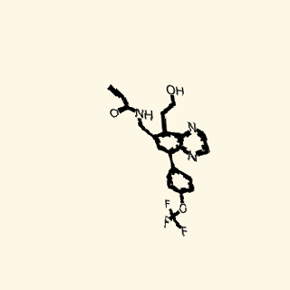 C=CC(=O)NCc1cc(-c2ccc(OC(F)(F)F)cc2)c2nccnc2c1CCO